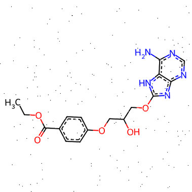 CCOC(=O)c1ccc(OCC(O)COc2nc3ncnc(N)c3[nH]2)cc1